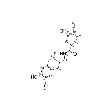 CN(C)[C@H](CNC(=O)c1ccc(Cl)c(Cl)c1)Cc1ccc(O)c(Cl)c1